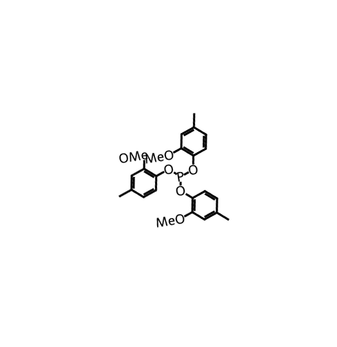 COc1cc(C)ccc1OP(Oc1ccc(C)cc1OC)Oc1ccc(C)cc1OC